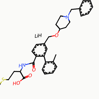 CSCCC(NC(=O)c1ccc(COC2CCN(Cc3ccccc3)CC2)cc1-c1ccccc1C)C(=O)O.[LiH]